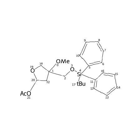 COC1(CO[Si](c2ccccc2)(c2ccccc2)C(C)(C)C)COC(OC(C)=O)C1